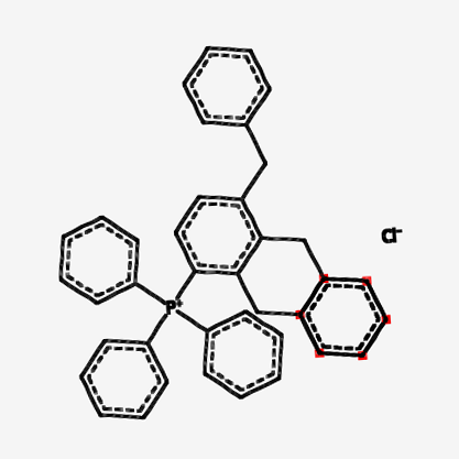 [Cl-].c1ccc(Cc2ccc([P+](c3ccccc3)(c3ccccc3)c3ccccc3)c(Cc3ccccc3)c2Cc2ccccc2)cc1